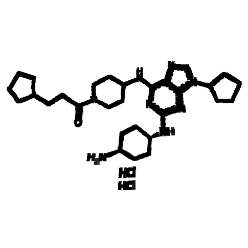 Cl.Cl.N[C@H]1CC[C@H](Nc2nc(NC3CCN(C(=O)CCC4CCCC4)CC3)c3ncn(C4CCCC4)c3n2)CC1